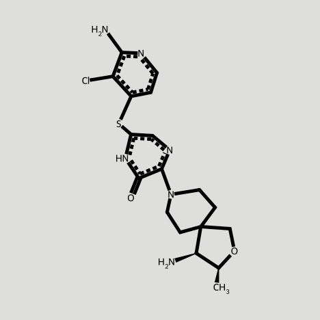 C[C@@H]1OCC2(CCN(c3ncc(Sc4ccnc(N)c4Cl)[nH]c3=O)CC2)[C@@H]1N